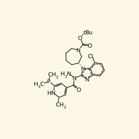 CC1C=C(C(=O)N(N)c2nc3cccc(Cl)c3n2[C@@H]2CCCCN(C(=O)OC(C)(C)C)C2)C=C(P(C)C)N1